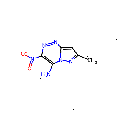 Cc1cc2nnc([N+](=O)[O-])c(N)n2n1